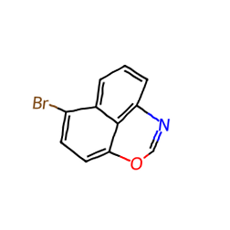 Brc1ccc2c3c(cccc13)N=CO2